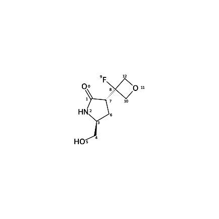 O=C1N[C@H](CO)C[C@H]1C1(F)COC1